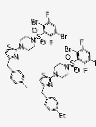 CCc1ccc(Cc2csc(N3CCN(S(=O)(=O)c4c(F)c(Br)cc(F)c4Br)CC3)n2)cc1.Cc1ccc(Cc2csc(N3CCN(S(=O)(=O)c4c(F)c(Br)cc(F)c4Br)CC3)n2)cc1